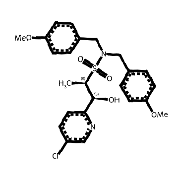 COc1ccc(CN(Cc2ccc(OC)cc2)S(=O)(=O)[C@H](C)[C@@H](O)c2ccc(Cl)cn2)cc1